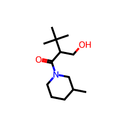 CC1CCCN(C(=O)C(CO)C(C)(C)C)C1